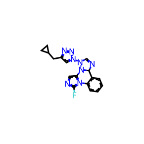 Fc1ncc2n1-c1ccccc1C1N=CN(n3cc(CC4CC4)nn3)N21